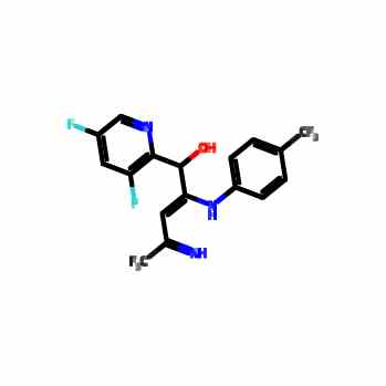 N=C(/C=C(\Nc1ccc(C(F)(F)F)cc1)C(O)c1ncc(F)cc1F)C(F)(F)F